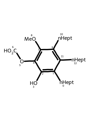 CCCCCCCc1c(O)c(OC(=O)O)c(OC)c(CCCCCCC)c1CCCCCCC